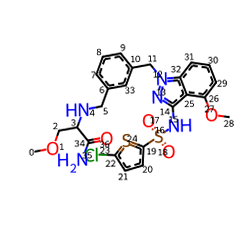 COCC(NCc1cccc(Cn2nc(NS(=O)(=O)c3ccc(Cl)s3)c3c(OC)cccc32)c1)C(N)=O